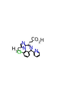 Cc1cnc2n1-c1c(Cl)cccc1C(c1ccccn1)=N[C@H]2CCC(=O)O